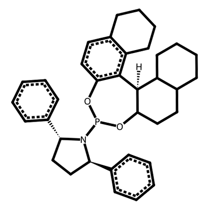 c1ccc([C@H]2CC[C@H](c3ccccc3)N2P2Oc3ccc4c(c3[C@@H]3C(CCC5CCCCC53)O2)CCCC4)cc1